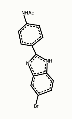 CC(=O)Nc1ccc(-c2nc3cc(Br)ccc3[nH]2)cc1